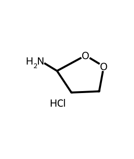 Cl.NC1CCOO1